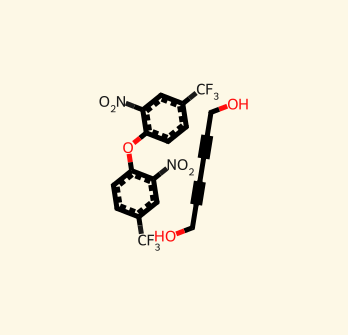 O=[N+]([O-])c1cc(C(F)(F)F)ccc1Oc1ccc(C(F)(F)F)cc1[N+](=O)[O-].OCC#CC#CCO